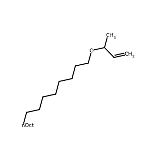 C=CC(C)OCCCCCCCCCCCCCCCC